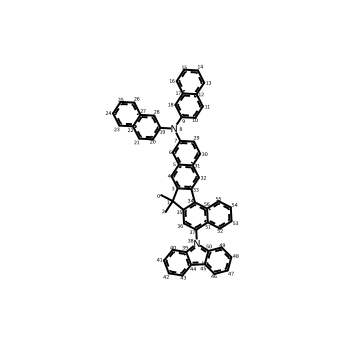 CC1(C)c2cc3cc(N(c4ccc5ccccc5c4)c4ccc5ccccc5c4)ccc3cc2-c2c1cc(-n1c3ccccc3c3ccccc31)c1ccccc21